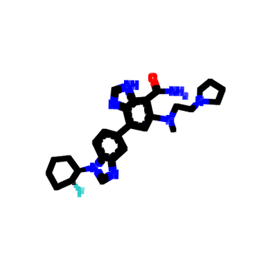 CN(CCN1CCCC1)c1cc(-c2ccc3c(c2)ncn3[C@@H]2CCCC[C@H]2F)c2nc[nH]c2c1C(N)=O